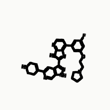 Fc1cc(OCCN2CCCC2)cc(-c2ccnc3[nH]c(-c4n[nH]c5cnc(C6=CCNCC6)cc45)nc23)c1